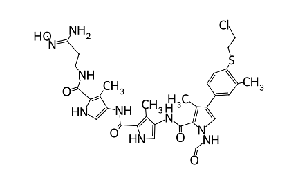 Cc1cc(-c2cn(NC=O)c(C(=O)Nc3c[nH]c(C(=O)Nc4c[nH]c(C(=O)NCCC(N)=NO)c4C)c3C)c2C)ccc1SCCCl